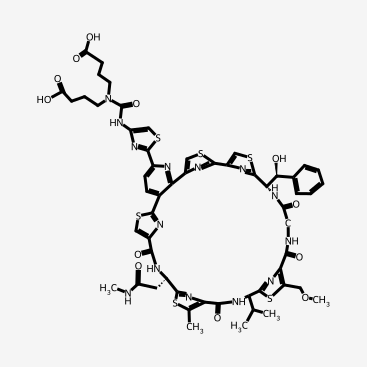 CNC(=O)C[C@@H]1NC(=O)c2csc(n2)-c2ccc(-c3nc(NC(=O)N(CCCC(=O)O)CCCC(=O)O)cs3)nc2-c2csc(n2)-c2csc(n2)[C@H]([C@@H](O)c2ccccc2)NC(=O)CNC(=O)c2nc(sc2COC)C(C(C)C)NC(=O)c2nc1sc2C